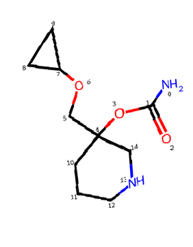 NC(=O)OC1(COC2CC2)CCCNC1